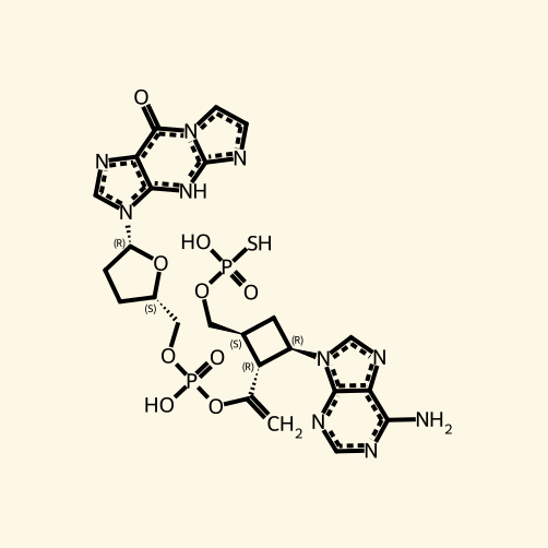 C=C(OP(=O)(O)OC[C@@H]1CC[C@H](n2cnc3c(=O)n4ccnc4[nH]c32)O1)[C@@H]1[C@@H](COP(=O)(O)S)C[C@H]1n1cnc2c(N)ncnc21